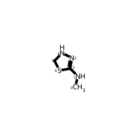 CNC1=NNCS1